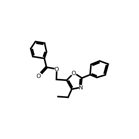 CCc1nc(-c2ccccc2)oc1COC(=O)c1ccccc1